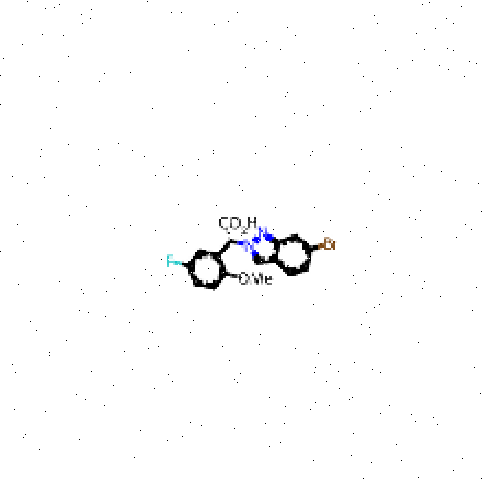 COc1ccc(F)cc1[C@H](C(=O)O)n1cc2ccc(Br)cc2n1